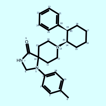 Cc1ccc(N2CNC(=O)C23CCN([C@@H]2CCCC[C@@H]2c2ccccc2)CC3)cc1